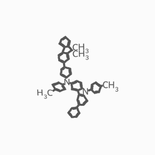 Cc1ccc(N(c2ccc(-c3ccc4c(c3)C(C)(C)c3ccccc3-4)cc2)c2ccc3c(c2)c2cc(-c4ccccc4)ccc2n3-c2ccc(C)cc2)cc1